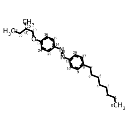 CCCCCCCCc1ccc(N=Nc2ccc(OC[C@@H](C)CC)cc2)cc1